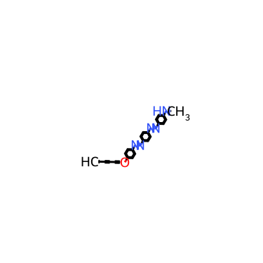 C#CC#CC#COc1ccc(N=Nc2ccc(N=Nc3ccc(NC)cc3)cc2)cc1